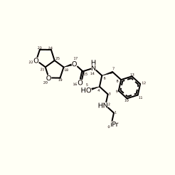 CC(C)CNC[C@@H](O)[C@H](Cc1ccccc1)NC(=O)O[C@H]1COC2OCCC21